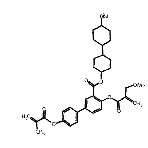 C=C(C)C(=O)Oc1ccc(-c2ccc(OC(=O)C(=C)COC)c(C(=O)OC3CCC(C4CCC(CCCC)CC4)CC3)c2)cc1